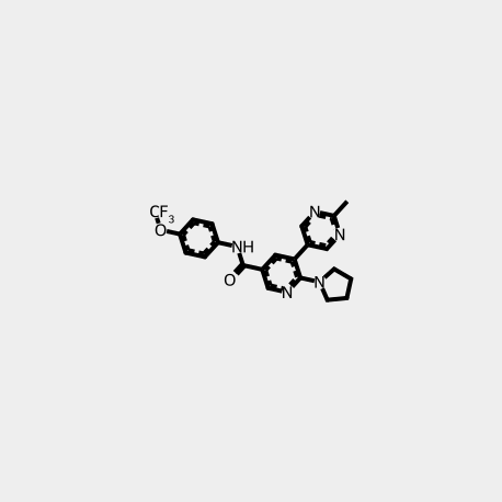 Cc1ncc(-c2cc(C(=O)Nc3ccc(OC(F)(F)F)cc3)cnc2N2CCCC2)cn1